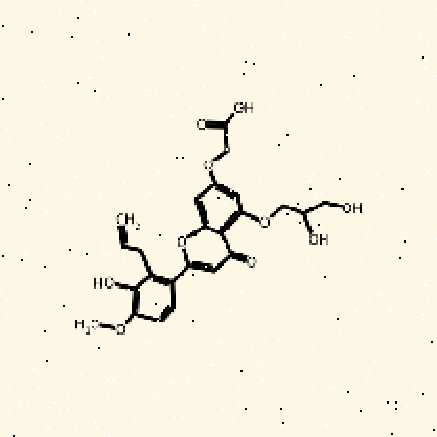 C=CCc1c(-c2cc(=O)c3c(OCC(O)CO)cc(OCC(=O)O)cc3o2)ccc(OC)c1O